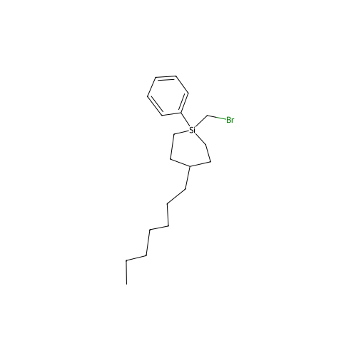 CCCCCCCC1CC[Si](CBr)(c2ccccc2)CC1